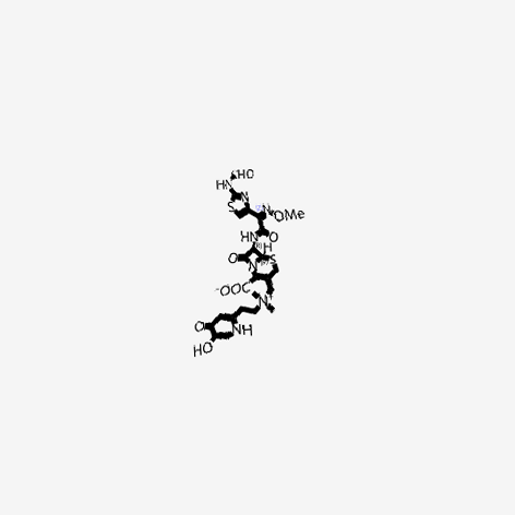 CO/N=C(\C(=O)N[C@@H]1C(=O)N2C(C(=O)[O-])=C(C[N+](C)(C)CCc3cc(=O)c(O)c[nH]3)CS[C@H]12)c1csc(NC=O)n1